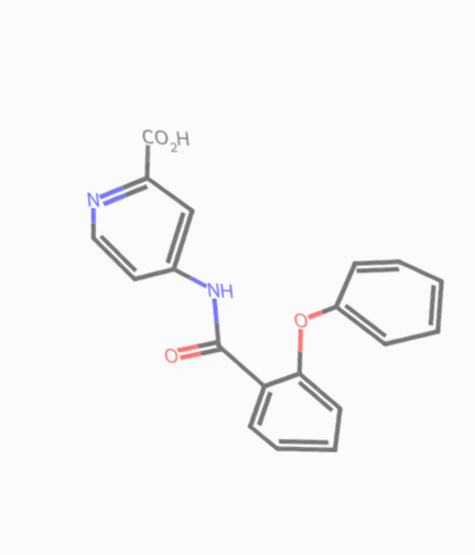 O=C(O)c1cc(NC(=O)c2ccccc2Oc2ccccc2)ccn1